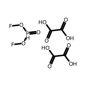 O=C(O)C(=O)O.O=C(O)C(=O)O.O=[PH](OF)OF